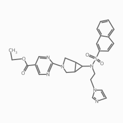 CCOC(=O)c1cnc(N2CC3C(C2)C3N(CCn2ccnc2)S(=O)(=O)c2ccc3ccccc3c2)nc1